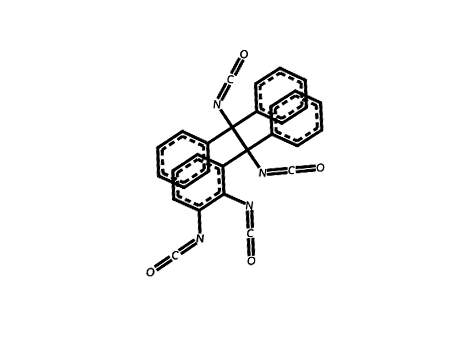 O=C=Nc1cccc(C(N=C=O)(c2ccccc2)C(N=C=O)(c2ccccc2)c2ccccc2)c1N=C=O